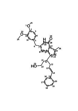 COc1ccc(Cc2nn3c(C(C/C=C/c4ccccc4)CCO)nc(C)c3c(=O)[nH]2)cc1OC